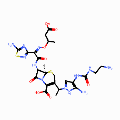 CC(CC(=O)O)O/N=C(\C(=O)N[C@@H]1C(=O)N2C(C(=O)O)=C(C(C)[n+]3cc(NC(=O)NCCN)c(N)[nH]3)CS[C@H]12)c1nsc(N)n1